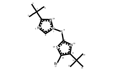 CC(C)(C)c1ncn(Sc2nc(C(C)(C)C)c(Br)s2)n1